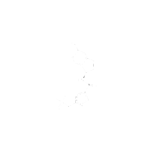 CS(=O)(=O)Cc1ncc(C(=O)N[C@@H]2CCc3cc(Cl)ccc32)s1